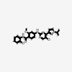 COc1cc(Nc2ncc(Cl)c(-c3ccn(C(C)C)n3)n2)ccc1C(=O)Nc1ccccc1Cl